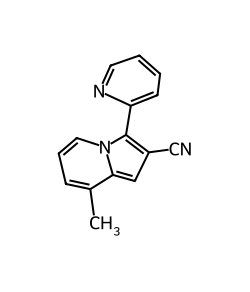 Cc1cccn2c(-c3ccccn3)c(C#N)cc12